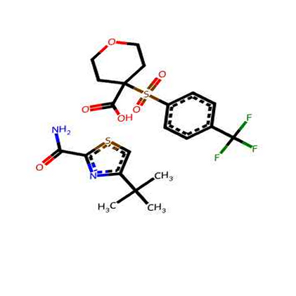 CC(C)(C)c1csc(C(N)=O)n1.O=C(O)C1(S(=O)(=O)c2ccc(C(F)(F)F)cc2)CCOCC1